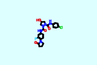 O=C1CCCN1c1ccc(NC(=O)N2CC(O)CN2C(=O)Nc2ccc(Cl)cc2)cc1F